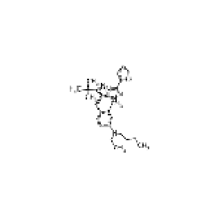 CCCCN(CC)c1ccc(/C=c2/c(C(C)(C)C)nn3c(-c4ccco4)nnc23)c(C)c1